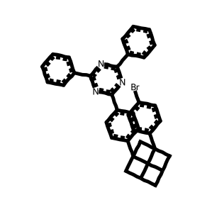 Brc1ccc(C23CC4CC5CC(c6ccc(-c7nc(-c8ccccc8)nc(-c8ccccc8)n7)cc6)(C2)C453)cc1